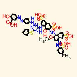 CCOc1cc(N=Nc2ccc(C)cc2S(=O)(=O)O)c2cc(S(=O)(=O)O)ccc2c1N=Nc1c(S(=O)(=O)O)cc2cc(S(=O)(=O)O)cc(Nc3nc(Nc4ccc(N=Nc5ccc(O)c(C(=O)O)c5)cc4)nc(Sc4ccccc4)n3)c2c1O